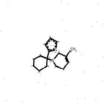 CC1=CCCN(C2(c3cccs3)CCCCC2)C1